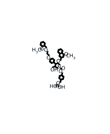 COc1ccccc1COCCCOc1ccc(C2C(CO)CN(C(=O)OCc3ccc(CON(O)O)cc3)CC2OCc2cc(OC)c3ccccc3c2)cc1